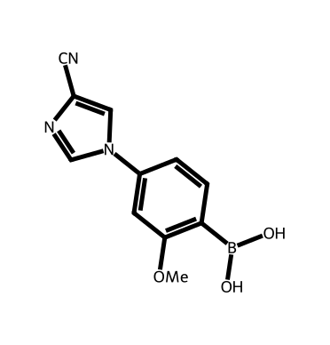 COc1cc(-n2cnc(C#N)c2)ccc1B(O)O